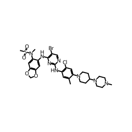 Cc1cc(Nc2ncc(Br)c(Nc3cc4c(cc3N(C)S(C)(=O)=O)OCO4)n2)c(Cl)cc1N1CCC(N2CCN(C)CC2)CC1